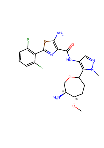 CO[C@H]1CCC(c2c(NC(=O)c3nc(-c4c(F)cccc4F)sc3N)cnn2C)OC[C@@H]1N